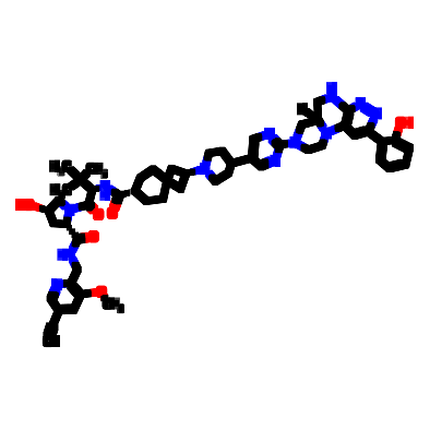 C#Cc1cnc(CNC(=O)[C@@H]2C[C@@H](O)CN2C(=O)[C@@H](NC(=O)[C@H]2CCC3(CC2)C[C@H](N2CCC(c4cnc(N5CCN6c7cc(-c8ccccc8O)nnc7NC[C@H]6C5)nc4)CC2)C3)C(C)(C)C)c(OC)c1